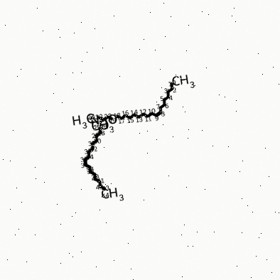 CCCCCCCC/C=C\CCCCCCCCCOCC(CN(C)C)OCCCCCCCC/C=C\CCCCCCCC